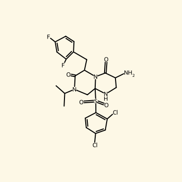 CC(C)N1CC2(S(=O)(=O)c3ccc(Cl)cc3Cl)NCC(N)C(=O)N2C(Cc2ccc(F)cc2F)C1=O